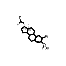 CCCCOc1cc2c(cc1CC)C1CC[C@@]3(C)C(CC[C@@H]3CC(F)F)C1CC2